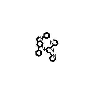 c1ccc(-n2ccc3cc4c5ccccc5n(-c5cc(-c6ccccn6)nc(-c6ccccn6)c5)c4cc32)cc1